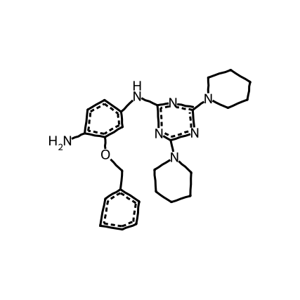 Nc1ccc(Nc2nc(N3CCCCC3)nc(N3CCCCC3)n2)cc1OCc1ccccc1